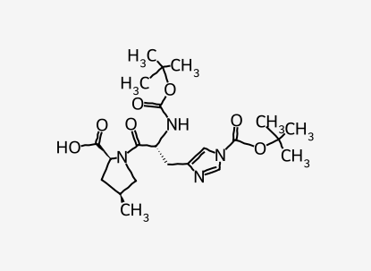 C[C@H]1C[C@@H](C(=O)O)N(C(=O)[C@@H](Cc2cn(C(=O)OC(C)(C)C)cn2)NC(=O)OC(C)(C)C)C1